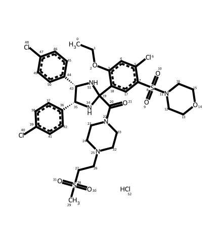 CCOc1cc(Cl)c(S(=O)(=O)N2CCOCC2)cc1C1(C(=O)N2CCN(CCS(C)(=O)=O)CC2)N[C@H](c2ccc(Cl)cc2)[C@H](c2ccc(Cl)cc2)N1.Cl